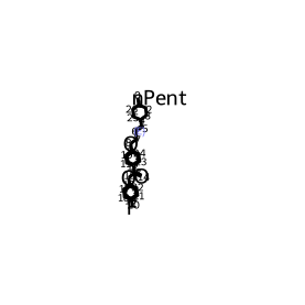 CCCCCC1CCC(/C=C/COc2ccc(C(=O)Oc3ccc(F)cc3)cc2)CC1